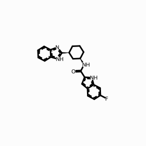 O=C(N[C@@H]1CCC[C@H](c2nc3ccccc3[nH]2)C1)c1cc2ccc(F)cc2[nH]1